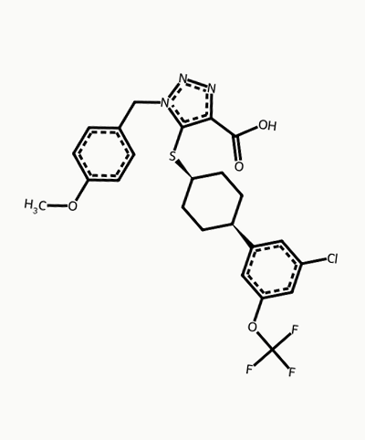 COc1ccc(Cn2nnc(C(=O)O)c2S[C@H]2CC[C@@H](c3cc(Cl)cc(OC(F)(F)F)c3)CC2)cc1